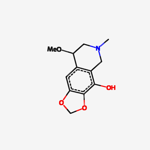 COC1CN(C)Cc2c1cc1c(c2O)OCO1